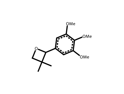 COc1cc(C2OCC2(C)C)cc(OC)c1OC